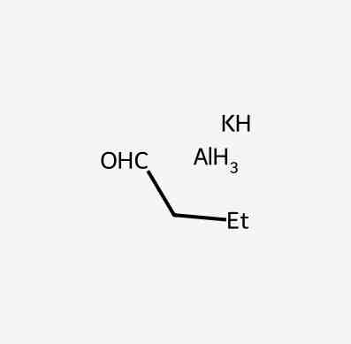 CCCC=O.[AlH3].[KH]